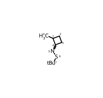 CC1CC/C1=N\SC(C)(C)C